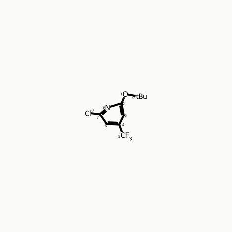 CC(C)(C)Oc1cc(C(F)(F)F)cc(Cl)n1